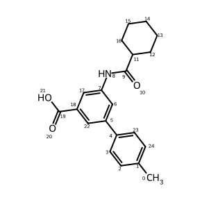 Cc1ccc(-c2cc(NC(=O)C3CCCCC3)cc(C(=O)O)c2)cc1